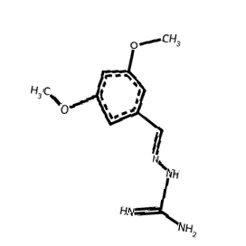 COc1cc(C=NNC(=N)N)cc(OC)c1